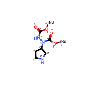 CC(C)(C)OC(=O)NN(C(=O)OC(C)(C)C)C1CCNC1